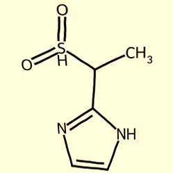 CC(c1ncc[nH]1)[SH](=O)=O